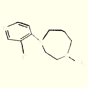 CN1CCCN(c2ccncc2Cl)CC1